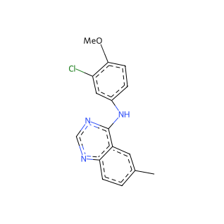 COc1ccc(Nc2ncnc3ccc(C)cc23)cc1Cl